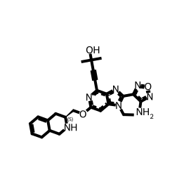 CCn1c(-c2nonc2N)nc2c(C#CC(C)(C)O)nc(OC[C@@H]3CC4=CC=CCC4CN3)cc21